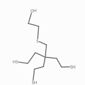 OCCSCC(CCS)(CCS)CCS